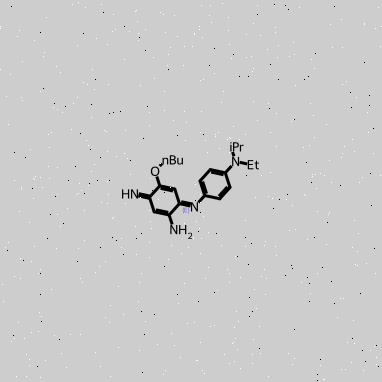 CCCCOC1=C/C(=N\c2ccc(N(CC)C(C)C)cc2)C(N)=CC1=N